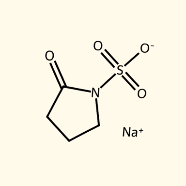 O=C1CCCN1S(=O)(=O)[O-].[Na+]